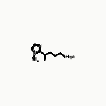 CCCCCCCCCCC(C)c1nccn1N